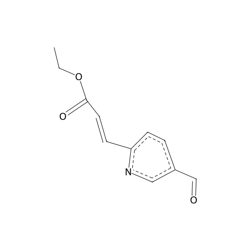 CCOC(=O)/C=C/c1ccc(C=O)cn1